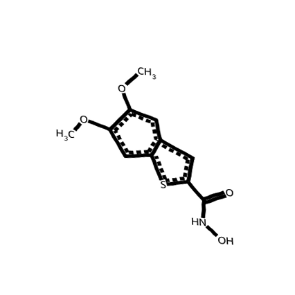 COc1cc2cc(C(=O)NO)sc2cc1OC